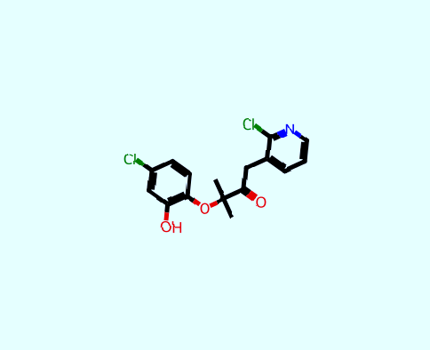 CC(C)(Oc1ccc(Cl)cc1O)C(=O)Cc1cccnc1Cl